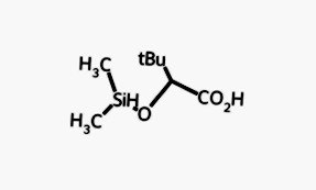 C[SiH](C)OC(C(=O)O)C(C)(C)C